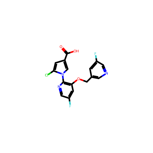 O=C(O)c1cc(Cl)n(-c2ncc(F)cc2OCc2cncc(F)c2)c1